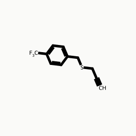 C#CCSCc1ccc(C(F)(F)F)cc1